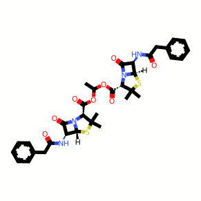 CC(OC(=O)[C@@H]1N2C(=O)[C@@H](NC(=O)Cc3ccccc3)[C@H]2SC1(C)C)OC(=O)[C@@H]1N2C(=O)[C@@H](NC(=O)Cc3ccccc3)[C@H]2SC1(C)C